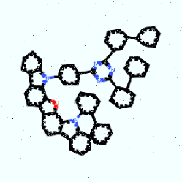 c1ccc(-c2cccc(-c3nc(-c4ccc(-n5c6ccccc6c6ccc7c8ccc9c%10ccccc%10n(-c%10ccccc%10-c%10ccccc%10)c9c8oc7c65)cc4)nc(-c4ccccc4-c4ccccc4)n3)c2)cc1